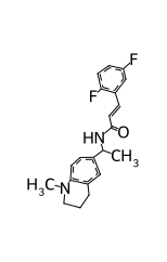 CC(NC(=O)C=Cc1cc(F)ccc1F)c1ccc2c(c1)CCCN2C